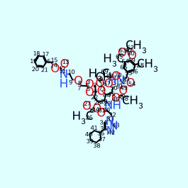 COC(=O)[C@@]1(OCCOCCNC(=O)OCc2ccccc2)C[C@H](OC(C)=O)[C@@H](NC(=O)Cn2cc(C3CCCCC3)nn2)[C@H]([C@H](OC(C)=O)[C@@H](CNC(=O)c2cc(C)c(OC(C)=O)c(C)c2)OC(C)=O)O1